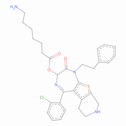 NCCCCCCC(=O)OC1N=C(c2ccccc2Cl)c2c(sc3c2CCNC3)N(CCc2ccccc2)C1=O